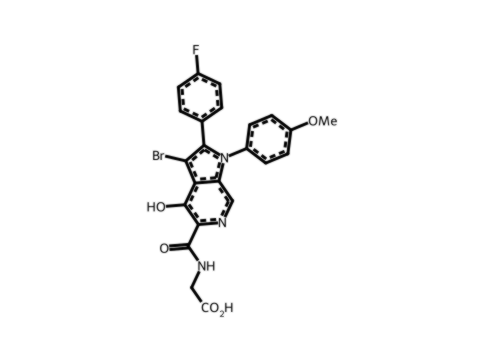 COc1ccc(-n2c(-c3ccc(F)cc3)c(Br)c3c(O)c(C(=O)NCC(=O)O)ncc32)cc1